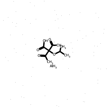 CC(=O)C(OC(C)C)(C(C)=O)C(=O)O.[AlH3]